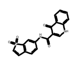 O=C(Nc1ccc2c(c1)S(=O)(=O)C=C2)c1c[nH]c2ccccc2c1=O